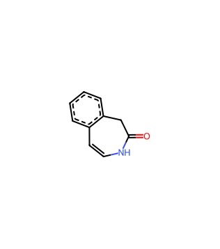 O=C1Cc2ccccc2C=CN1